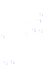 Cc1ccc2nnc(Sc3ccc4ncc(-c5cnn(C)c5)cc4c3F)n2n1